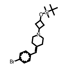 CC(C)(C)[Si](C)(C)OC1CC(N2CCC(=Cc3ccc(Br)cc3)CC2)C1